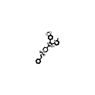 Cc1cccc(-c2[nH]c(C3CCN(S(=O)(=O)C=Cc4ccccc4)CC3)nc2-c2ccc3c(c2)OCO3)n1